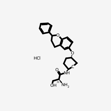 Cl.N[C@@H](CO)C(=O)N[C@H]1CC[C@H](Oc2ccc3c(c2)CCC(c2ccccc2)O3)CC1